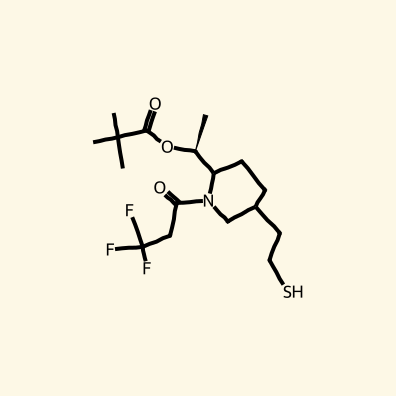 C[C@H](OC(=O)C(C)(C)C)C1CCC(CCS)CN1C(=O)CC(F)(F)F